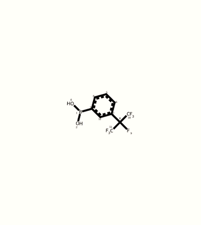 OB(O)c1cccc(C(F)(C(F)(F)F)C(F)(F)F)c1